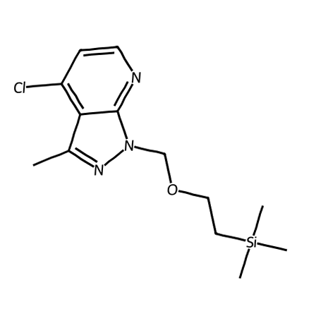 Cc1nn(COCC[Si](C)(C)C)c2nccc(Cl)c12